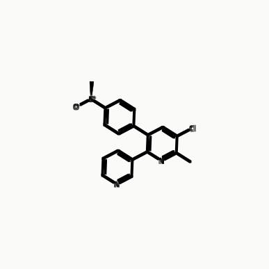 Cc1nc(-c2cccnc2)c(-c2ccc([S@+](C)[O-])cc2)cc1Cl